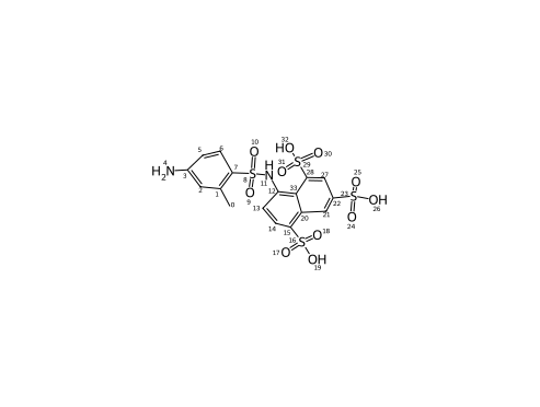 Cc1cc(N)ccc1S(=O)(=O)Nc1ccc(S(=O)(=O)O)c2cc(S(=O)(=O)O)cc(S(=O)(=O)O)c12